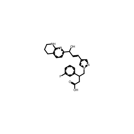 O=C(O)CC(Cn1cc(C=CC(O)c2ccc3c(n2)NCCC3)cn1)c1cccc(F)c1